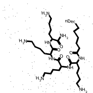 CCCCCCCCCCCCCCCC(=O)NC(CCCCN)C(=O)NC(CCCCN)C(=O)NC(CCCCN)C(=O)NC(CCCCN)C(N)=O